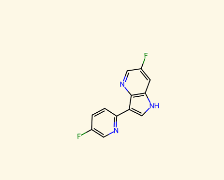 Fc1ccc(-c2c[nH]c3cc(F)cnc23)nc1